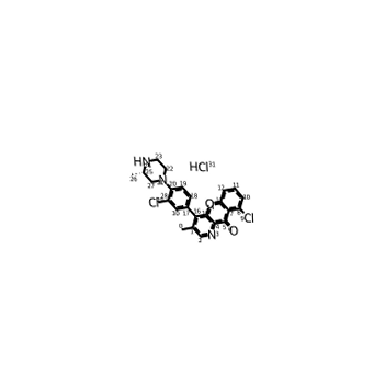 Cc1cnc2c(=O)c3c(Cl)cccc3oc2c1-c1ccc(N2CCN[C@@H](C)C2)c(Cl)c1.Cl